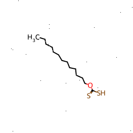 CCCCCCCCCCCCCOC(=S)S